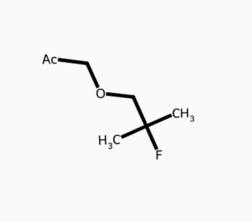 CC(=O)COCC(C)(C)F